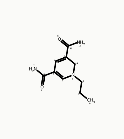 CCCN1C=C(C(N)=O)C=C(C(N)=O)C1